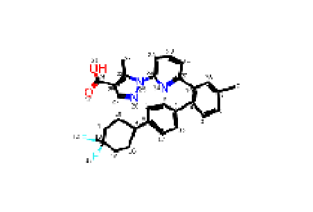 Cc1ccc(-c2ccc(C3CCC(F)(F)CC3)cc2)c(-c2cccc(-n3ncc(C(=O)O)c3C)n2)c1